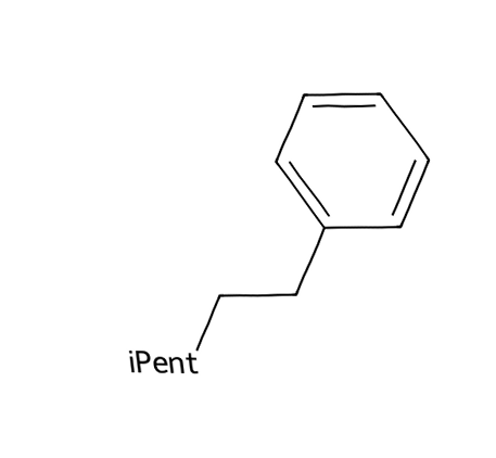 [CH2]C(CCC)CCc1ccccc1